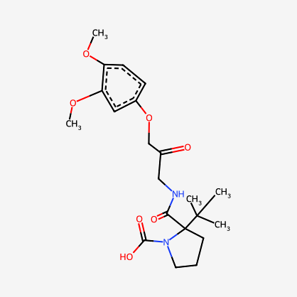 COc1ccc(OCC(=O)CNC(=O)C2(C(C)(C)C)CCCN2C(=O)O)cc1OC